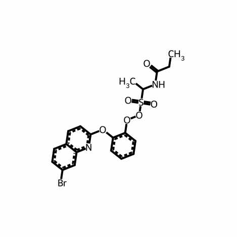 CCC(=O)NC(C)S(=O)(=O)OOc1ccccc1Oc1ccc2ccc(Br)cc2n1